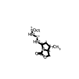 CCCCCCCCNSNC1C[C@H](C)C2COC(=O)N12